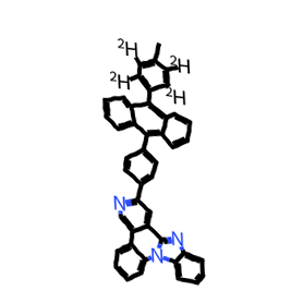 [2H]c1c([2H])c(-c2c3ccccc3c(-c3ccc(-c4cc5c(cn4)c4ccccc4n4c6ccccc6nc54)cc3)c3ccccc23)c([2H])c([2H])c1C